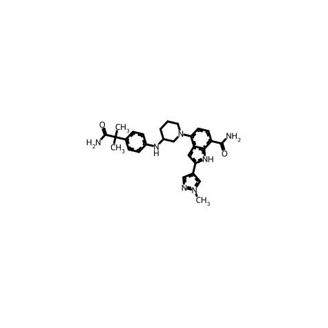 Cn1cc(-c2cc3c(N4CCCC(Nc5ccc(C(C)(C)C(N)=O)cc5)C4)ccc(C(N)=O)c3[nH]2)cn1